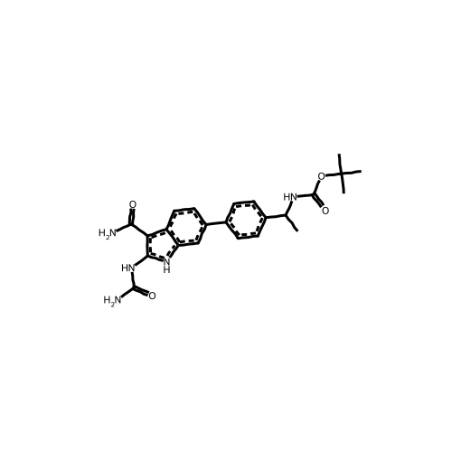 CC(NC(=O)OC(C)(C)C)c1ccc(-c2ccc3c(C(N)=O)c(NC(N)=O)[nH]c3c2)cc1